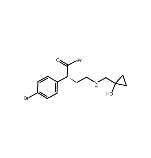 CC(C)C(=O)[C@H](CCNCC1(O)CC1)c1ccc(Br)cc1